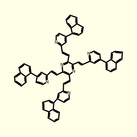 C(=Cc1nc(C=Cc2cc(-c3cccc4ccccc34)ccn2)c(C=Cc2cc(-c3cccc4ccccc34)ccn2)nc1C=Cc1cc(-c2cccc3ccccc23)ccn1)c1cc(-c2cccc3ccccc23)ccn1